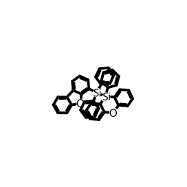 c1ccc([Si]2([Si](c3ccccc3)(c3ccccc3)c3cccc4c3oc3ccccc34)c3ccccc3Oc3ccccc32)cc1